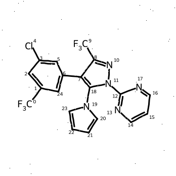 FC(F)(F)c1cc(Cl)cc(-c2c(C(F)(F)F)nn(-c3ncccn3)c2-n2cccc2)c1